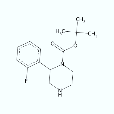 CC(C)(C)OC(=O)N1CCNCC1c1ccccc1F